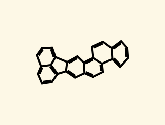 c1cc2c3c(cccc3c1)-c1cc3c(ccc4c5ccccc5ccc34)cc1-2